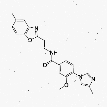 COc1cc(C(=O)NCCc2nc3cc(C)ccc3o2)ccc1-n1cnc(C)c1